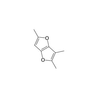 Cc1cc2oc(C)c(C)c2o1